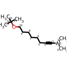 [CH3][Al]([CH3])[C]#CCCCCCCOC(C)(C)C